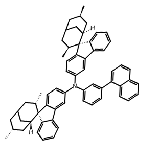 C[C@@H]1CC2C[C@@H](C1)[C@@]1(c3ccccc3-c3cc(N(c4cccc(-c5cccc6ccccc56)c4)c4ccc5c(c4)-c4ccccc4[C@]54[C@H]5CC(C[C@@H](C)C5)C[C@@H]4C)ccc31)[C@@H](C)C2